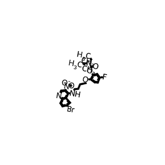 CCN(C(=O)Oc1cc(F)ccc1OCCCCNc1c([N+](=O)[O-])cnc2ccc(Br)cc12)C(C)(C)C